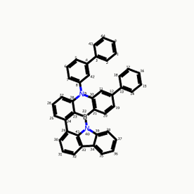 c1ccc(-c2cccc(N3c4cc(-c5ccccc5)ccc4B4c5c(cccc53)-c3cccc5c6ccccc6n4c35)c2)cc1